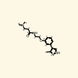 Cc1n[nH]cc1-c1c[c]cc(OCCNC(=O)CCN(C)C)c1